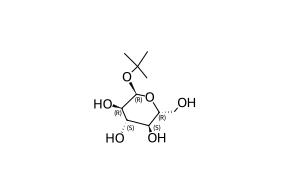 CC(C)(C)O[C@H]1O[C@H](CO)[C@@H](O)[C@H](O)[C@H]1O